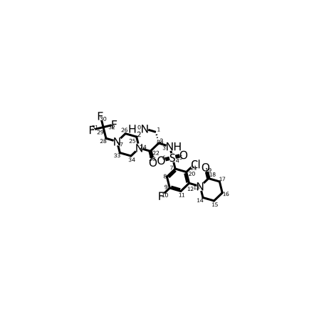 NC[C@H](NS(=O)(=O)c1cc(F)cc(N2CCCCC2=O)c1Cl)C(=O)N1CCN(CC(F)(F)F)CC1